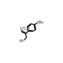 CC(C)C/C(=C/C(=O)O)c1ccc(C(C)(C)C)cc1